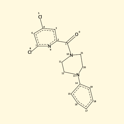 O=C(c1cc(Cl)cc(Cl)n1)N1CCN(c2ccccc2)CC1